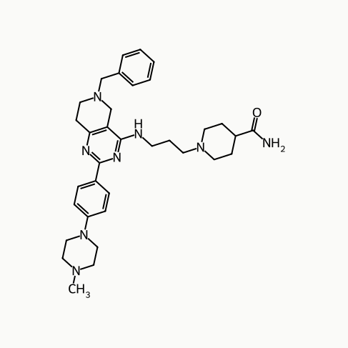 CN1CCN(c2ccc(-c3nc4c(c(NCCCN5CCC(C(N)=O)CC5)n3)CN(Cc3ccccc3)CC4)cc2)CC1